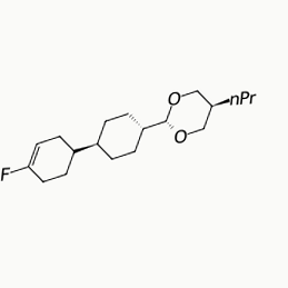 CCC[C@H]1CO[C@H]([C@H]2CC[C@H](C3CC=C(F)CC3)CC2)OC1